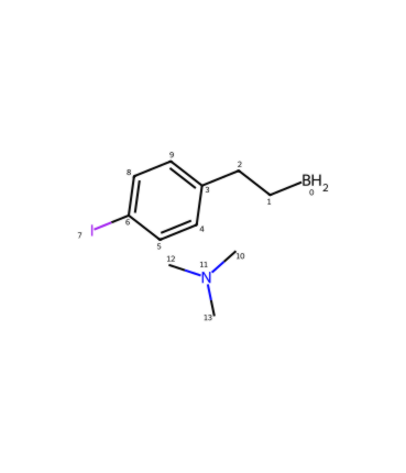 BCCc1ccc(I)cc1.CN(C)C